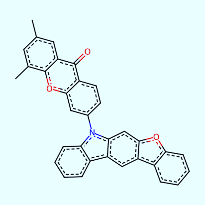 Cc1cc(C)c2oc3cc(-n4c5ccccc5c5cc6c(cc54)oc4ccccc46)ccc3c(=O)c2c1